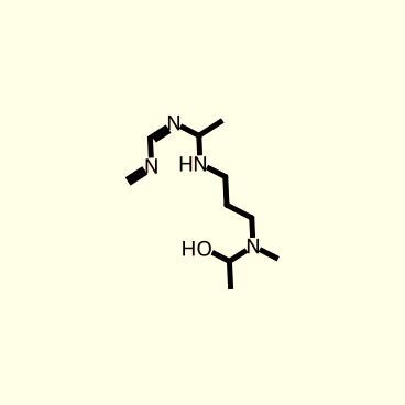 C=N/C=N\C(C)NCCCN(C)C(C)O